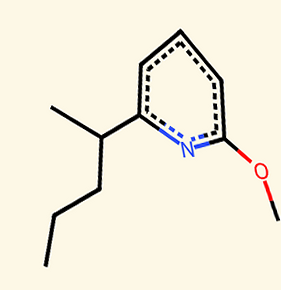 CCCC(C)c1cccc(OC)n1